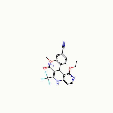 CCOc1nccc2c1C(c1ccc(C#N)cc1OC)C(C(N)=O)=C(C(F)(F)F)N2